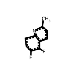 Cc1ccc2c(F)c(F)ccc2n1